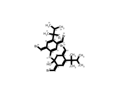 CC(C)C(C)(C)C1=CC(=CBr)C(O)(Oc2cc(=CBr)c(C(C)(C)C(C)C)cc2=CBr)CC1=CBr